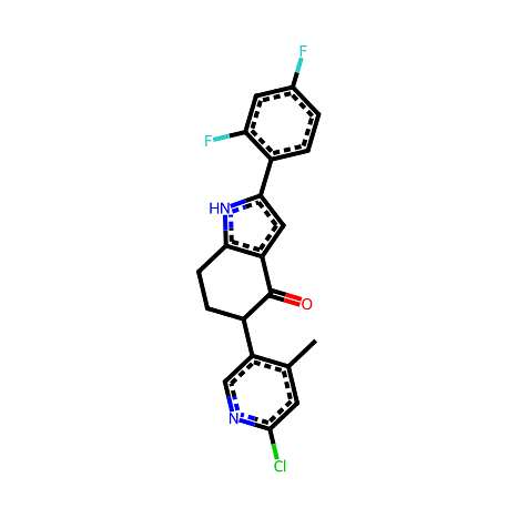 Cc1cc(Cl)ncc1C1CCc2[nH]c(-c3ccc(F)cc3F)cc2C1=O